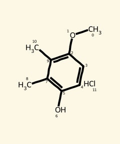 COc1ccc(O)c(C)c1C.Cl